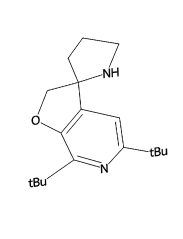 CC(C)(C)c1cc2c(c(C(C)(C)C)n1)OCC21CCCN1